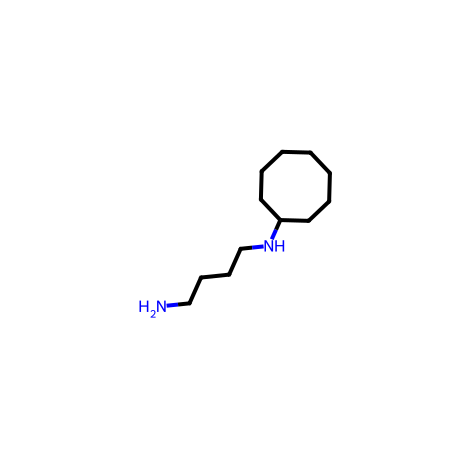 NCCCCNC1CCCCCCC1